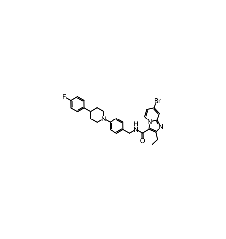 CCc1nc2cc(Br)ccn2c1C(=O)NCc1ccc(N2CCC(c3ccc(F)cc3)CC2)cc1